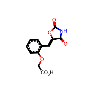 O=C(O)COc1ccccc1C=C1OC(=O)NC1=O